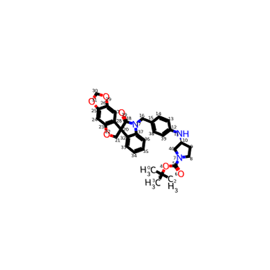 CC(C)(C)OC(=O)N1CC[C@@H](Nc2ccc(CN3C(=O)C4(COc5cc6c(cc54)OCO6)c4ccccc43)cc2)C1